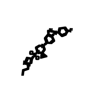 CCCn1cc(S(=O)(=O)N2CCN(c3ccc4c(cnn4-c4ccc(F)cc4)c3)CC23CC3)cn1